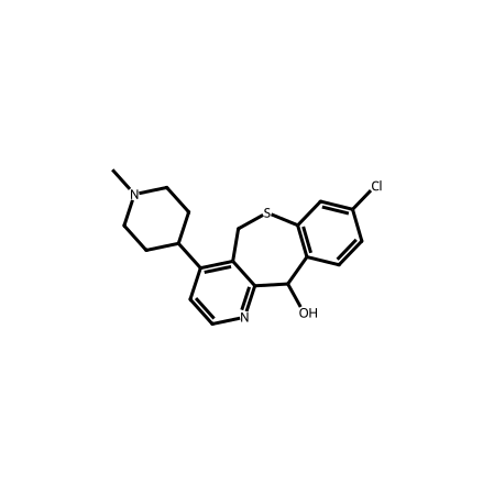 CN1CCC(c2ccnc3c2CSc2cc(Cl)ccc2C3O)CC1